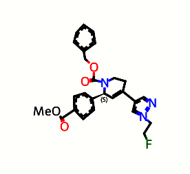 COC(=O)c1ccc([C@@H]2C=C(c3cnn(CCF)c3)CCN2C(=O)OCc2ccccc2)cc1